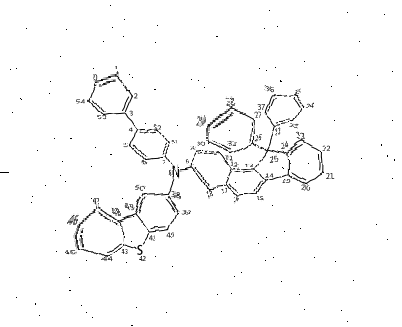 c1ccc(-c2ccc(N(c3ccc4c5c(ccc4c3)-c3ccccc3C5(c3ccccc3)c3ccccc3)c3ccc4sc5ccccc5c4c3)cc2)cc1